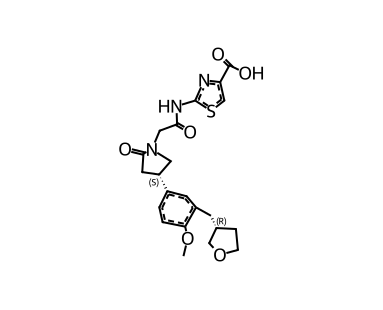 COc1ccc([C@@H]2CC(=O)N(CC(=O)Nc3nc(C(=O)O)cs3)C2)cc1C[C@@H]1CCOC1